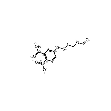 O=[C]OCCSSc1ccc([N+](=O)[O-])c(C(=O)O)c1